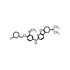 C=Nc1cc(Nc2ccc3c4c(oc3n2)CCC(N(C)C)C4)ccc1OCN1CCCC(F)C1